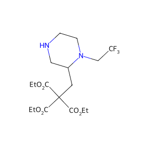 CCOC(=O)C(CC1CNCCN1CC(F)(F)F)(C(=O)OCC)C(=O)OCC